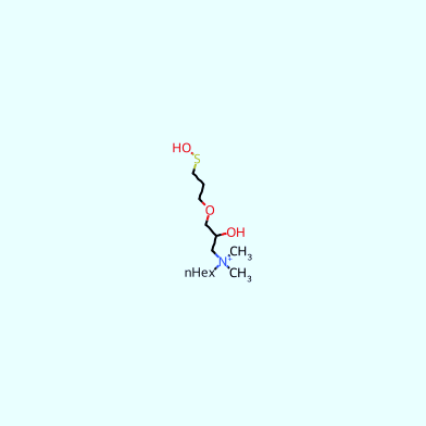 CCCCCC[N+](C)(C)CC(O)COCCCSO